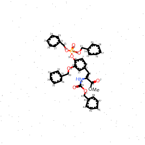 COC(=O)C(=Cc1ccc(OP(=O)(OCc2ccccc2)OCc2ccccc2)c(OCc2ccccc2)c1)NC(=O)OCc1ccccc1